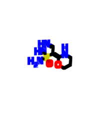 N=C/C(=C1\NCCCO1)S(=N)(N)=O